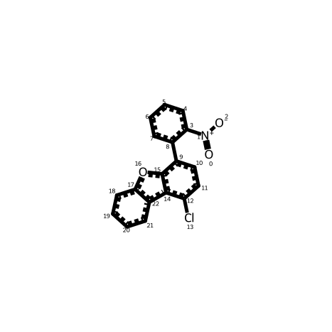 O=[N+]([O-])c1ccccc1-c1ccc(Cl)c2c1oc1ccccc12